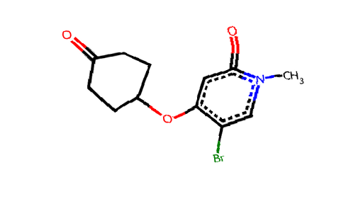 Cn1cc(Br)c(OC2CCC(=O)CC2)cc1=O